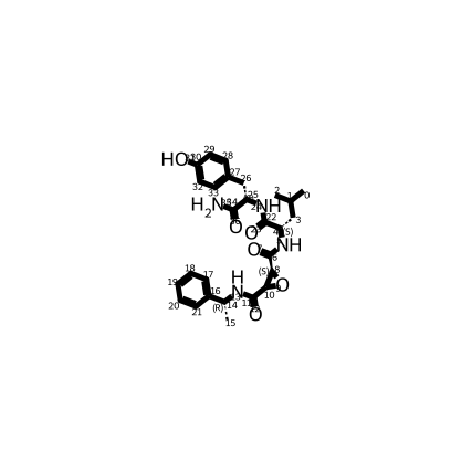 CC(C)C[C@H](NC(=O)[C@H]1OC1C(=O)N[C@H](C)c1ccccc1)C(=O)N[C@@H](Cc1ccc(O)cc1)C(N)=O